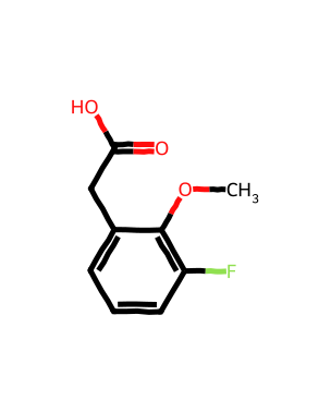 COc1c(F)cccc1CC(=O)O